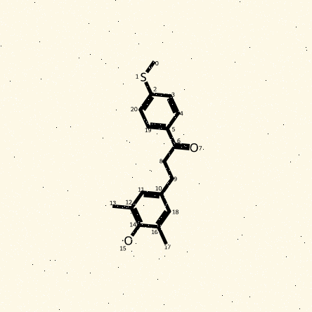 CSc1ccc(C(=O)CCc2cc(C)c([O])c(C)c2)cc1